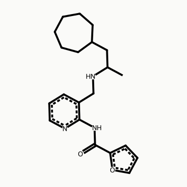 CC(CC1CCCCCC1)NCc1cccnc1NC(=O)c1ccco1